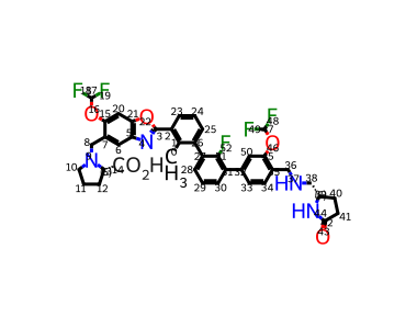 Cc1c(-c2nc3cc(CN4CCC[C@H]4C(=O)O)c(OC(F)F)cc3o2)cccc1-c1cccc(-c2ccc(CNC[C@@H]3CCC(=O)N3)c(OC(F)F)c2)c1F